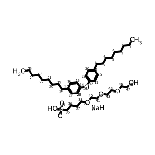 CCCCCCCCCc1ccc(Oc2ccc(CCCCCCCCC)cc2)cc1.O=S(=O)(O)CCCCOCCOCCOCCO.[NaH]